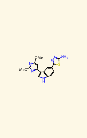 COc1cc(-c2c[nH]c3ccc(-c4nnc(N)s4)cc23)nc(OC)n1